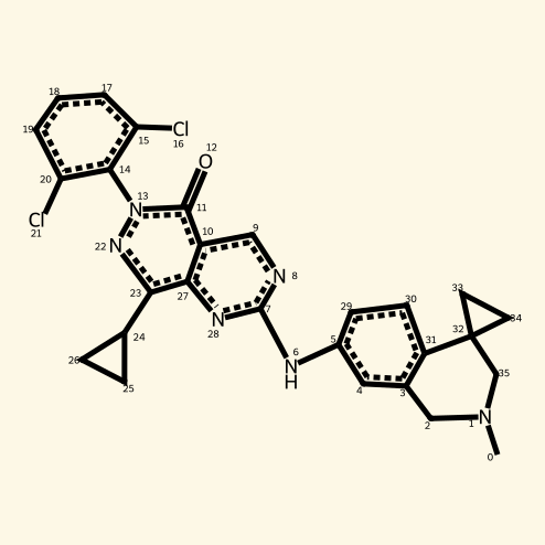 CN1Cc2cc(Nc3ncc4c(=O)n(-c5c(Cl)cccc5Cl)nc(C5CC5)c4n3)ccc2C2(CC2)C1